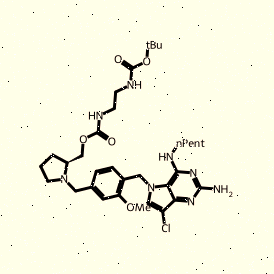 CCCCCNc1nc(N)nc2c(Cl)cn(Cc3ccc(CN4CCC[C@H]4COC(=O)NCCNC(=O)OC(C)(C)C)cc3OC)c12